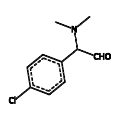 CN(C)C(C=O)c1ccc(Cl)cc1